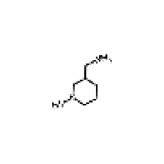 NCC1CCCN(S)C1